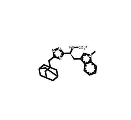 Cn1cc(C[C@H](NC(=O)O)c2nc(CC34CC5CC(CC(C5)C3)C4)no2)c2ccccc21